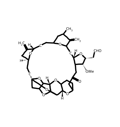 C=C1C(C)CC2CC[C@@H]3O[C@@H](CC[C@@]45CC6OC7C(O4)[C@H]4OC(CCC4O[C@H]7C6O5)CC(=O)CC4[C@H](CC1O2)O[C@H](CC=O)[C@@H]4OC)CC3=C